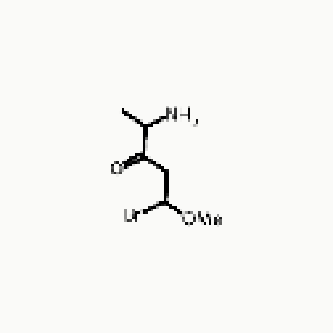 COC(Br)CC(=O)C(C)N